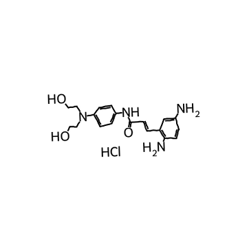 Cl.Nc1ccc(N)c(C=CC(=O)Nc2ccc(N(CCO)CCO)cc2)c1